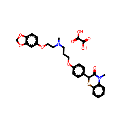 CN(CCCOc1ccc(C2Sc3ccccc3N(C)C2=O)cc1)CCOc1ccc2c(c1)OCO2.O=C(O)C(=O)O